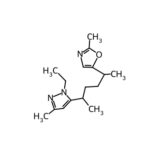 CCn1nc(C)cc1C(C)CCC(C)c1cnc(C)o1